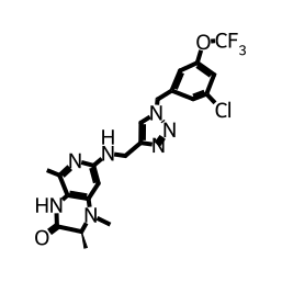 Cc1nc(NCc2cn(Cc3cc(Cl)cc(OC(F)(F)F)c3)nn2)cc2c1NC(=O)[C@H](C)N2C